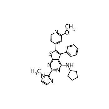 COc1cc(-c2sc3nc(-c4nccn4C)nc(NC4CCCC4)c3c2-c2ccccc2)ccn1